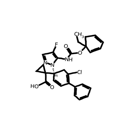 CCC1(OC(=O)Nc2c(F)cnn2[C@@]2(C3(C(=O)O)CC3)C=CC(c3ccccc3)=C(Cl)C2)C=CC=CC1